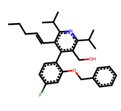 CCCC=Cc1c(C(C)C)nc(C(C)C)c(CO)c1-c1ccc(F)cc1OCc1ccccc1